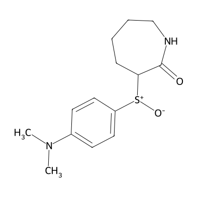 CN(C)c1ccc([S+]([O-])C2CCCCNC2=O)cc1